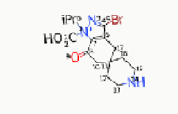 CC(C)[N+]1(C(=O)O)N=C(Br)C2=C1C(=O)CC1(CCNCC1)C2